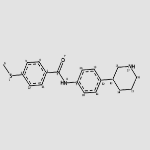 CSc1ccc(C(=O)Nc2ccc(C3CCCNC3)cc2)cc1